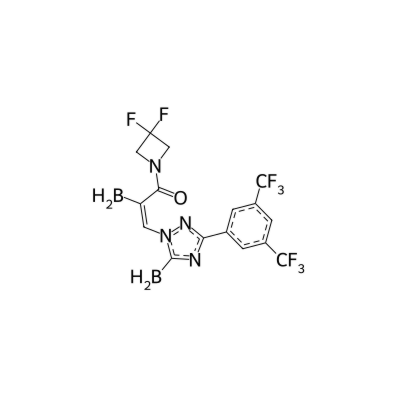 B/C(=C/n1nc(-c2cc(C(F)(F)F)cc(C(F)(F)F)c2)nc1B)C(=O)N1CC(F)(F)C1